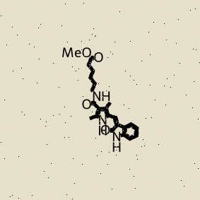 COC(=O)CCCCCNC(=O)c1c(C)[nH]c(/C=C2\C(=O)Nc3ccccc32)c1C